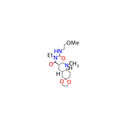 CCN(C(=O)NCCOC)C(=O)[C@@H]1C[C@@H]2CC3(CC[C@H]2N(C)C1)OCCO3